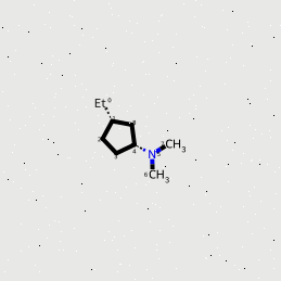 CC[C@H]1CC[C@@H](N(C)C)C1